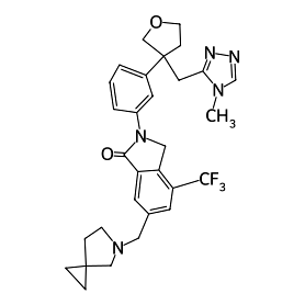 Cn1cnnc1CC1(c2cccc(N3Cc4c(cc(CN5CCC6(CC6)C5)cc4C(F)(F)F)C3=O)c2)CCOC1